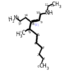 CCCCCCC(C)/C(=C/CNCC)CCN